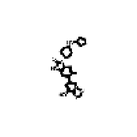 COc1cc(-c2cc3[nH]c(=O)n([C@H]4CC[C@@H](NC5CCCC5)CC4)c3cc2C)cn2ncnc12